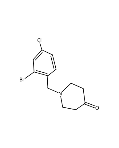 O=C1CCN(Cc2ccc(Cl)cc2Br)CC1